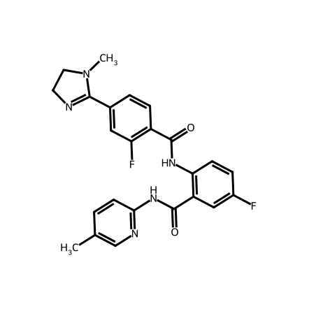 Cc1ccc(NC(=O)c2cc(F)ccc2NC(=O)c2ccc(C3=NCCN3C)cc2F)nc1